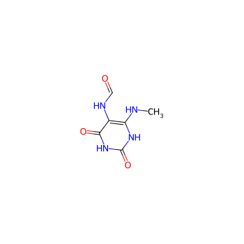 CNc1[nH]c(=O)[nH]c(=O)c1NC=O